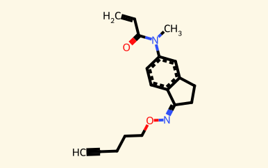 C#CCCCO/N=C1/CCc2cc(N(C)C(=O)C=C)ccc21